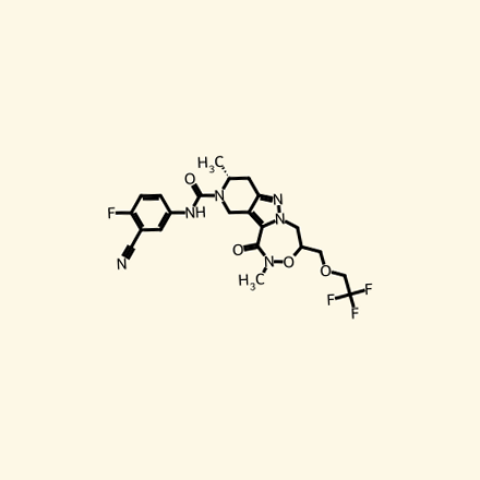 C[C@@H]1Cc2nn3c(c2CN1C(=O)Nc1ccc(F)c(C#N)c1)C(=O)N(C)OC(COCC(F)(F)F)C3